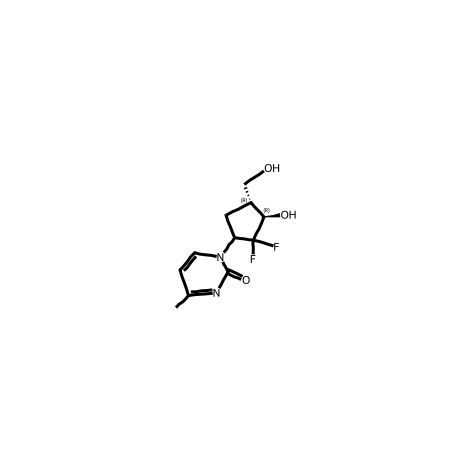 Cc1ccn(C2C[C@H](CO)[C@@H](O)C2(F)F)c(=O)n1